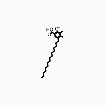 CCCCCCCCCCCCCCCCc1cc(C(=O)O)c(OC)c(C)c1C